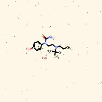 Br.CCCN(CCN(C(N)=O)c1ccc(O)cc1)C(C)(C)C